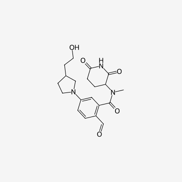 CN(C(=O)c1cc(N2CCC(CCO)C2)ccc1C=O)C1CCC(=O)NC1=O